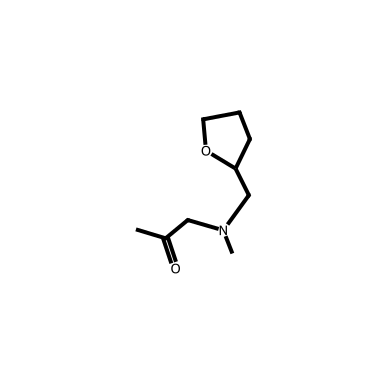 CC(=O)CN(C)CC1CCCO1